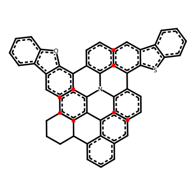 c1ccc(N(c2ccccc2-c2cccc3c2sc2ccccc23)c2ccccc2-c2cccc3cccc(C4CCCCC4)c23)c(-c2cccc3c2oc2ccccc23)c1